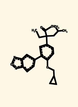 CCC(CC(C)C)(C(=O)O)c1ccc(OCC2CC2)c(-c2ccc3nonc3c2)c1